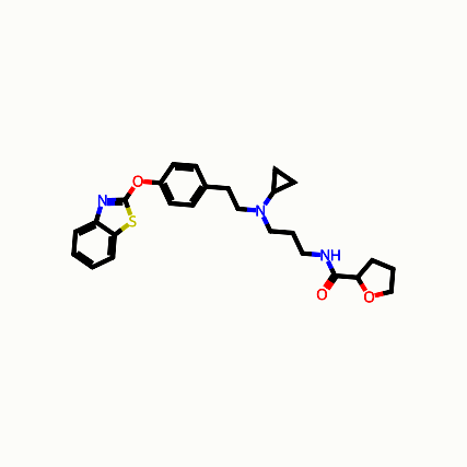 O=C(NCCCN(CCc1ccc(Oc2nc3ccccc3s2)cc1)C1CC1)C1CCCO1